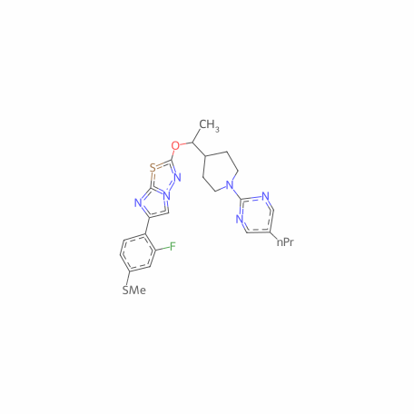 CCCc1cnc(N2CCC(C(C)Oc3nn4cc(-c5ccc(SC)cc5F)nc4s3)CC2)nc1